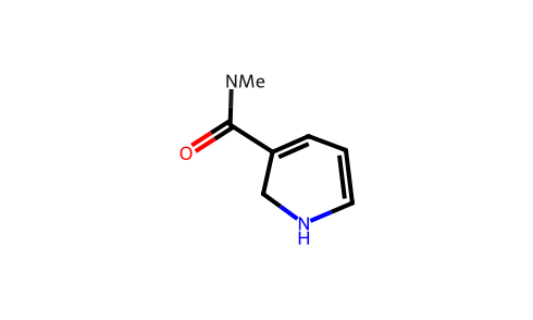 CNC(=O)C1=CC=CNC1